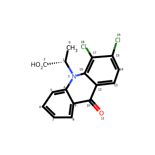 C[C@@H](C(=O)O)n1c2ccccc2c(=O)c2ccc(Cl)c(Cl)c21